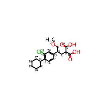 COCC(CC(C(=O)O)C(=O)O)c1ccc(C2CCCCC2)c(Cl)c1